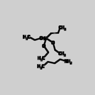 CCCCN.CCC[Si](OCC)(OCC)OCC